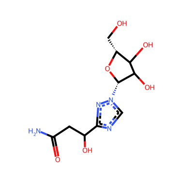 NC(=O)CC(O)c1ncn([C@@H]2O[C@H](CO)C(O)C2O)n1